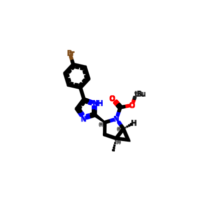 CC(C)(C)OC(=O)N1[C@H]2C[C@@]2(C)C[C@H]1c1ncc(-c2ccc(Br)cc2)[nH]1